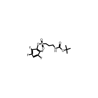 CC(C)(C)OC(=O)NCCCS(=O)(=O)Oc1c(F)c(F)cc(F)c1F